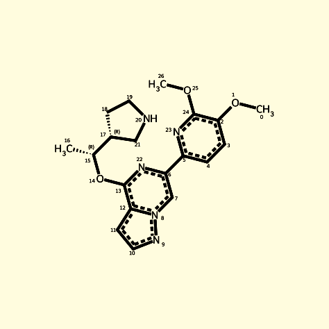 COc1ccc(-c2cn3nccc3c(O[C@H](C)[C@@H]3CCNC3)n2)nc1OC